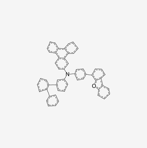 c1ccc(-c2ccccc2-c2cccc(N(c3ccc(-c4cccc5c4oc4ccccc45)cc3)c3ccc4c5ccccc5c5ccccc5c4c3)c2)cc1